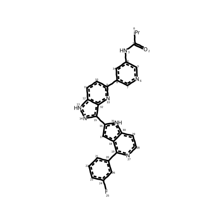 CC(C)C(=O)Nc1cncc(-c2ccc3[nH]nc(-c4cc5c(-c6cccc(F)c6)nccc5[nH]4)c3n2)c1